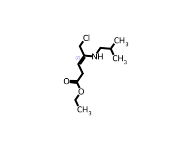 CCOC(=O)C/C=C(/CCl)NCC(C)C